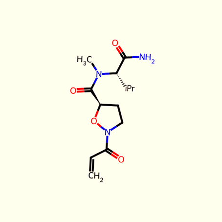 C=CC(=O)N1CC[C@H](C(=O)N(C)[C@H](C(N)=O)C(C)C)O1